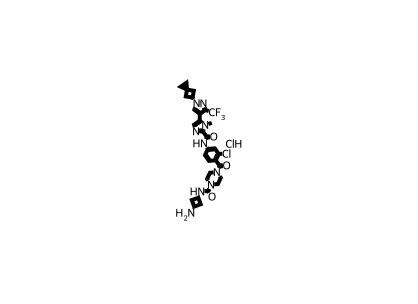 Cl.Cn1c(-c2cn(C3CC4(CC4)C3)nc2C(F)(F)F)cnc1C(=O)Nc1ccc(C(=O)N2CCN(C(=O)N[C@H]3C[C@@H](N)C3)CC2)c(Cl)c1